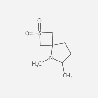 CC1CCC2(CS(=O)(=O)C2)N1C